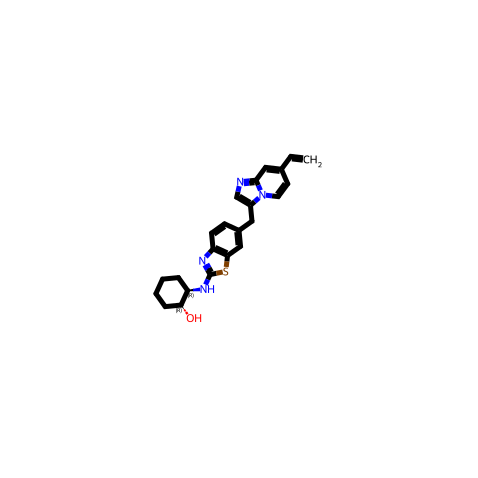 C=Cc1ccn2c(Cc3ccc4nc(N[C@@H]5CCCC[C@H]5O)sc4c3)cnc2c1